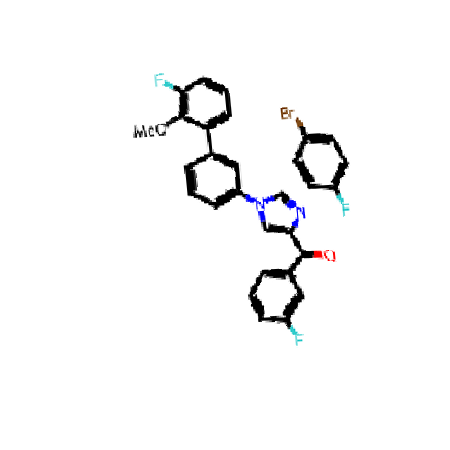 COc1c(F)cccc1-c1cccc(-n2cnc(C(=O)c3cccc(F)c3)c2)c1.Fc1ccc(Br)cc1